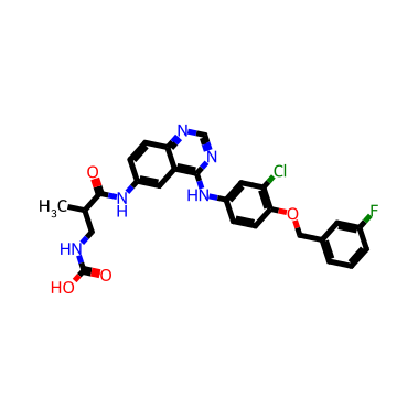 CC(CNC(=O)O)C(=O)Nc1ccc2ncnc(Nc3ccc(OCc4cccc(F)c4)c(Cl)c3)c2c1